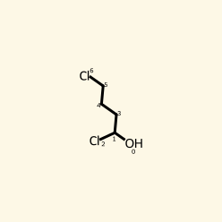 OC(Cl)CCCCl